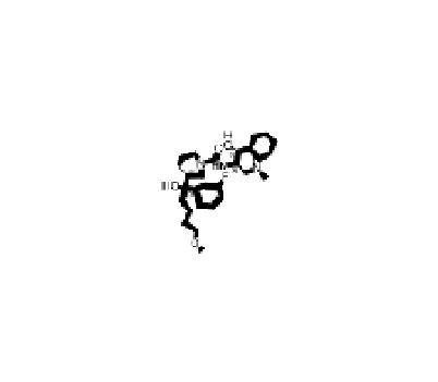 CNC[C@@H](NC(=O)N1CCC[C@@H]([C@@](O)(CCCCOC)c2cccc(F)c2)C1)[C@H](O)C1CCCCC1